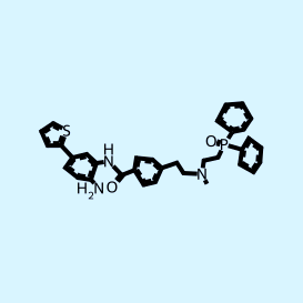 CN(CCc1ccc(C(=O)Nc2cc(-c3cccs3)ccc2N)cc1)CCP(=O)(c1ccccc1)c1ccccc1